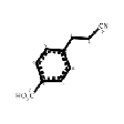 N#C[CH]Cc1ccc(C(=O)O)cc1